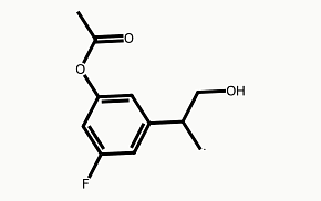 [CH2]C(CO)c1cc(F)cc(OC(C)=O)c1